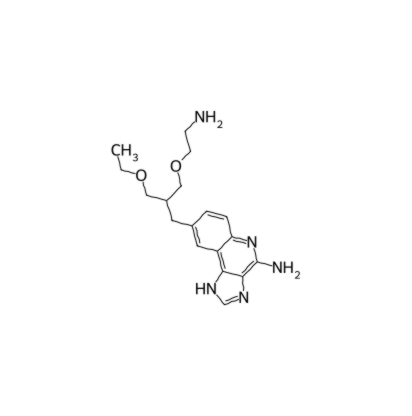 CCOCC(COCCN)Cc1ccc2nc(N)c3nc[nH]c3c2c1